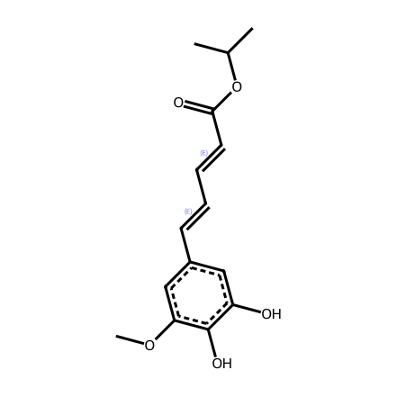 COc1cc(/C=C/C=C/C(=O)OC(C)C)cc(O)c1O